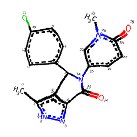 Cc1[nH]nc2c1C(c1ccc(Cl)cc1)N(c1ccc(=O)n(C)c1)C2=O